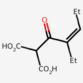 CCC=C(CC)C(=O)C(C(=O)O)C(=O)O